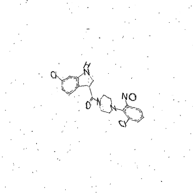 O=Nc1cccc(Cl)c1N1CCN(C(=O)C2CNc3cc(Cl)ccc32)CC1